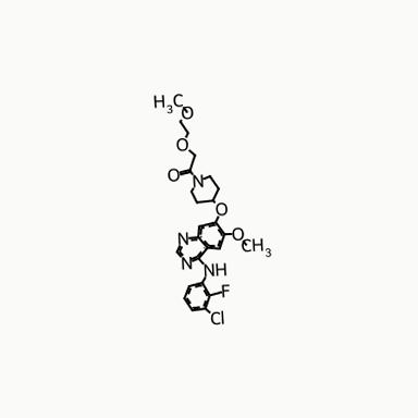 COCCOCC(=O)N1CCC(Oc2cc3ncnc(Nc4cccc(Cl)c4F)c3cc2OC)CC1